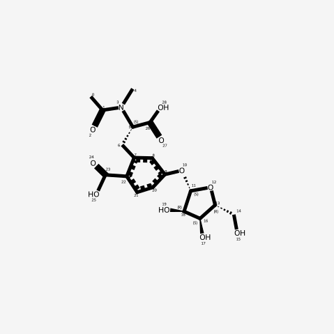 CC(=O)N(C)[C@@H](Cc1cc(O[C@@H]2O[C@H](CO)[C@@H](O)[C@H]2O)ccc1C(=O)O)C(=O)O